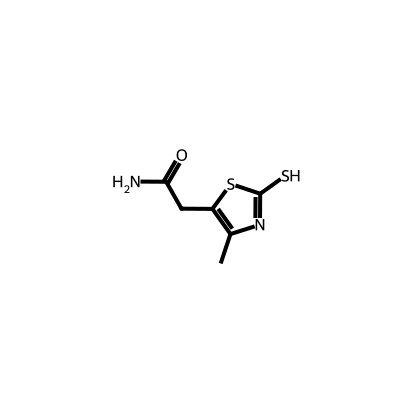 Cc1nc(S)sc1CC(N)=O